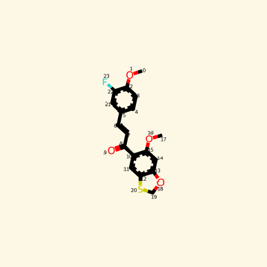 COc1ccc(/C=C/C(=O)c2cc3c(cc2OC)OCS3)cc1F